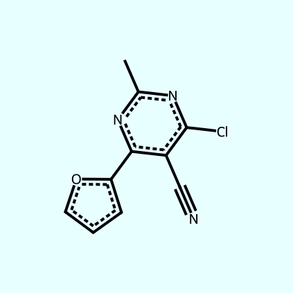 Cc1nc(Cl)c(C#N)c(-c2ccco2)n1